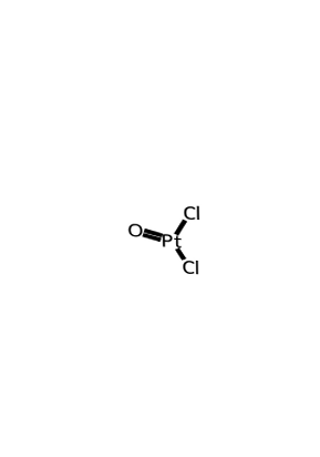 [O]=[Pt]([Cl])[Cl]